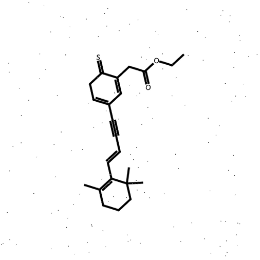 CCOC(=O)CC1=CC(C#CC=CC2=C(C)CCCC2(C)C)=CCC1=S